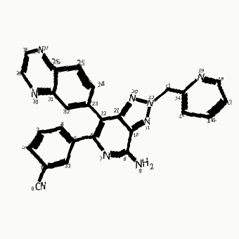 N#Cc1cccc(-c2nc(N)c3nn(Cc4ccccn4)nc3c2-c2ccc3nccnc3c2)c1